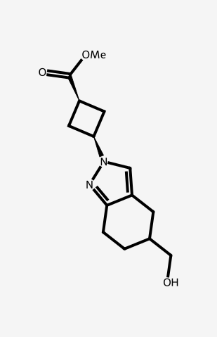 COC(=O)[C@H]1C[C@@H](n2cc3c(n2)CCC(CO)C3)C1